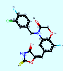 O=C1NC(=S)OC1=Cc1cc(F)c2c(c1)N(Cc1ccc(F)c(Cl)c1)C(=O)CO2